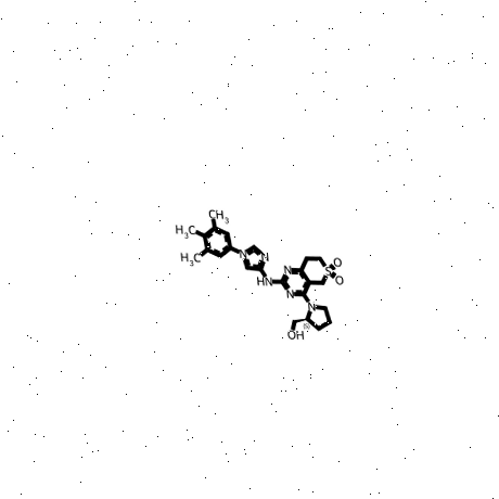 Cc1cc(-n2cnc(Nc3nc4c(c(N5CCC[C@H]5CO)n3)CS(=O)(=O)CC4)c2)cc(C)c1C